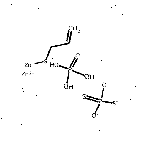 C=CC[S][Zn+].O=P(O)(O)O.[O-]P([O-])(=S)[S-].[Zn+2]